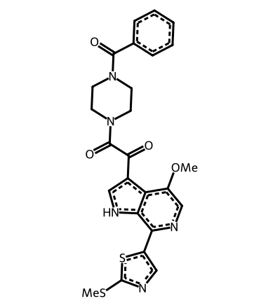 COc1cnc(-c2cnc(SC)s2)c2[nH]cc(C(=O)C(=O)N3CCN(C(=O)c4ccccc4)CC3)c12